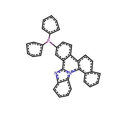 c1ccc(P(c2ccccc2)c2ccc3c(c2)c2nc4ccccc4n2c2c4ccccc4ccc32)cc1